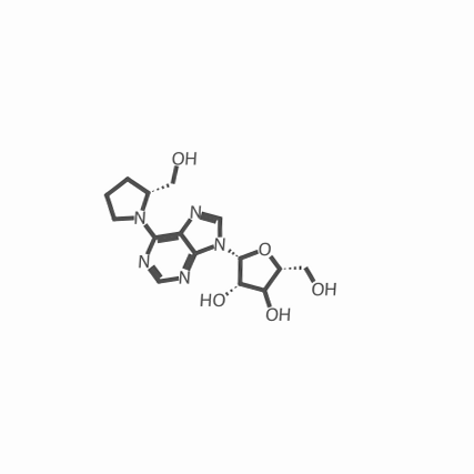 OC[C@H]1CCCN1c1ncnc2c1ncn2[C@@H]1O[C@H](CO)C(O)[C@@H]1O